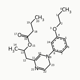 CCCOc1cccc(N2C=C(CC(C)OC(=O)CCC)N=CC2)c1